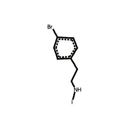 Brc1ccc(CCNI)cc1